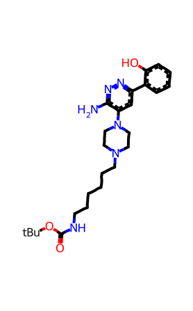 CC(C)(C)OC(=O)NCCCCCCN1CCN(c2cc(-c3ccccc3O)nnc2N)CC1